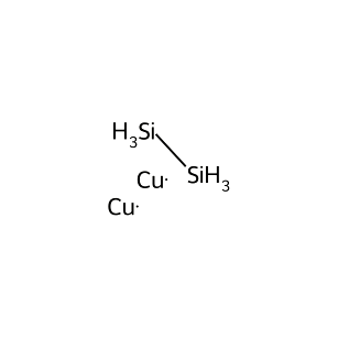 [Cu].[Cu].[SiH3][SiH3]